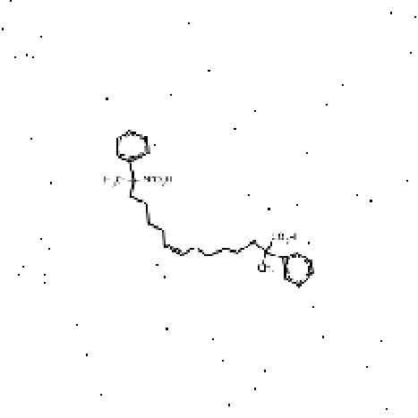 CC(CCCC/C=C\CCCCCC(C)(C(=O)O)c1ccccc1)(C(=O)O)c1ccccc1